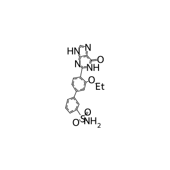 CCOc1cc(-c2cccc(S(N)(=O)=O)c2)ccc1-c1nc2[nH]cnc2c(=O)[nH]1